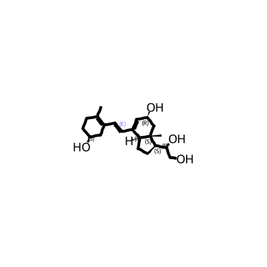 CC1=C(/C=C/C2=C[C@H](O)C[C@]3(C)[C@@H]([C@@H](O)CO)CC[C@@H]23)C[C@@H](O)CC1